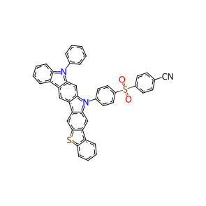 N#Cc1ccc(S(=O)(=O)c2ccc(-n3c4cc5c(cc4c4cc6c7ccccc7n(-c7ccccc7)c6cc43)sc3ccccc35)cc2)cc1